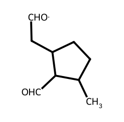 CC1CCC(C[C]=O)C1C=O